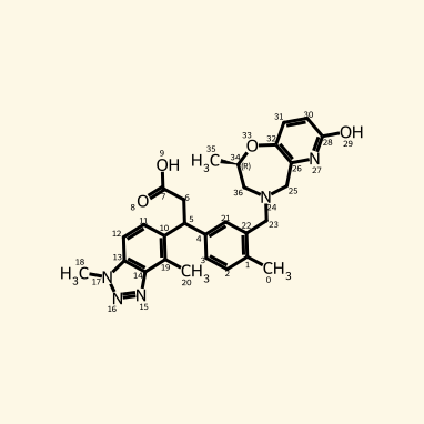 Cc1ccc(C(CC(=O)O)c2ccc3c(nnn3C)c2C)cc1CN1Cc2nc(O)ccc2O[C@H](C)C1